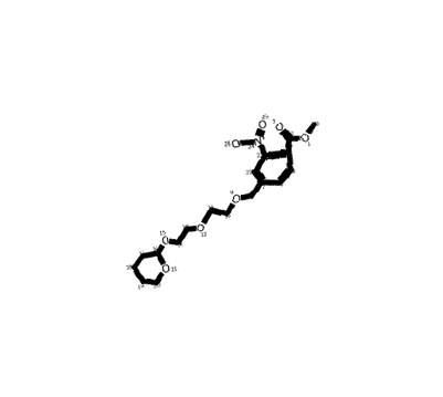 COC(=O)c1ccc(COCCOCCOC2CCCCO2)cc1[N+](=O)[O-]